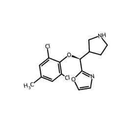 Cc1cc(Cl)c(O[C@H](c2ncco2)C2CCNC2)c(Cl)c1